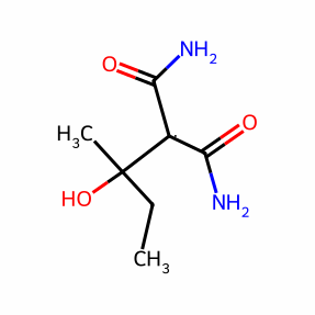 CCC(C)(O)[C](C(N)=O)C(N)=O